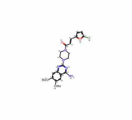 COc1cc2nc(N3CCN(C(=O)C=Cc4ccc(Cl)o4)CC3)nc(N)c2cc1OC